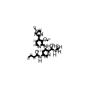 [2H]C([2H])([2H])NC(=O)c1nnc(NC(=O)CCC)cc1Nc1nccc(-c2ncn(C)n2)c1OC